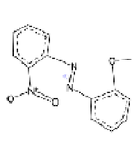 COc1ccccc1/N=N/c1ccccc1[N+](=O)[O-]